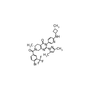 Cc1cc(C)n(-c2nc3c(c(=O)n2-c2ccc(N[C@H]4C[C@H](C)C4)nc2)C[C@@H](C)N(C(=O)c2ccc(Br)c(C(F)(F)F)c2)C3)n1